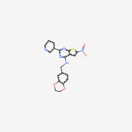 O=[N+]([O-])c1cc2c(NCc3ccc4c(c3)OCCO4)nc(-c3cccnc3)nc2s1